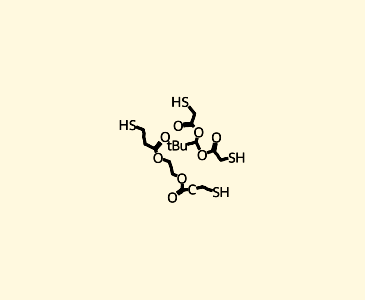 CC(C)(C)C(OC(=O)CS)OC(=O)CS.O=C(CCS)OCCOC(=O)CCS